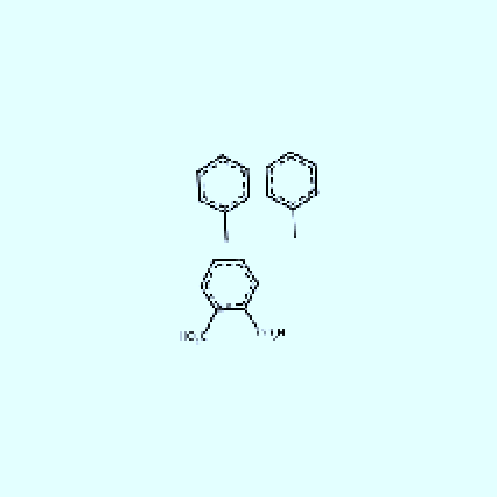 Cc1ccccc1.Cc1ccccc1.O=C(O)c1ccccc1C(=O)O